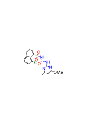 COc1cc(C)nc(NC(=O)NS(=O)(=O)c2cccc3cccc(Cl)c23)n1